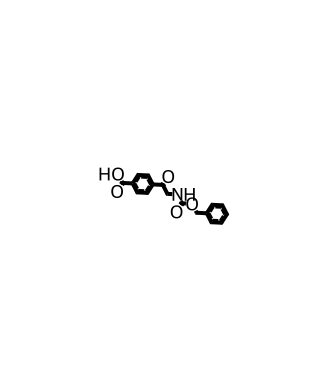 O=C(NCC(=O)c1ccc(C(=O)O)cc1)OCc1ccccc1